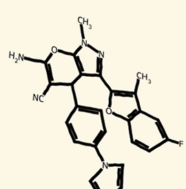 Cc1c(-c2nn(C)c3c2C(c2ccc(-n4ccnc4)cc2)C(C#N)=C(N)O3)oc2ccc(F)cc12